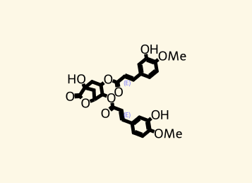 COc1ccc(/C=C/C(=O)OC2CC3(O)CC(OC3=O)C2OC(=O)/C=C/c2ccc(OC)c(O)c2)cc1O